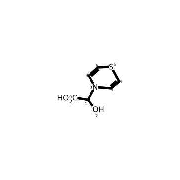 O=C(O)C(O)N1C=CSC=C1